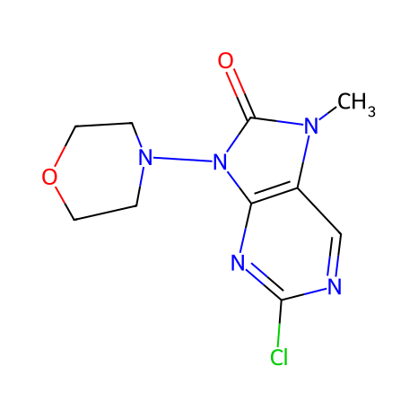 Cn1c(=O)n(N2CCOCC2)c2nc(Cl)ncc21